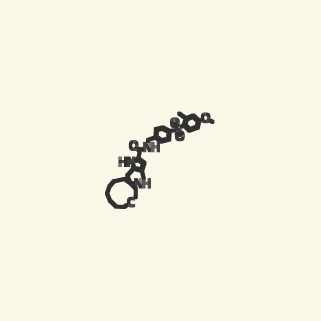 COc1ccc(S(=O)(=O)c2ccc(CNC(=O)c3cc4c([nH]3)CC3(CCCCCCCCCC3)NC4)cc2)c(C)c1